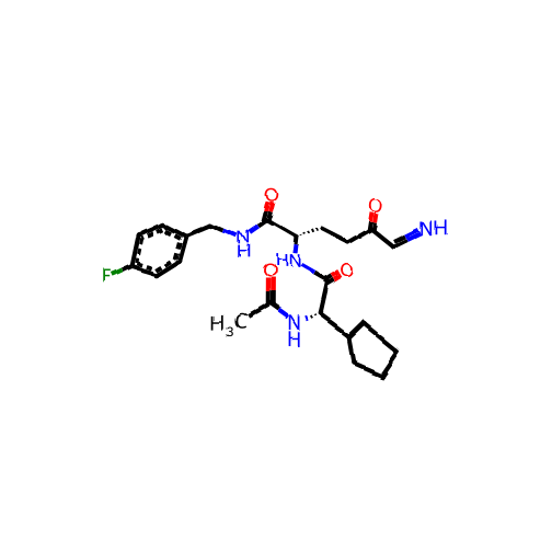 CC(=O)N[C@H](C(=O)N[C@@H](CCC(=O)C=N)C(=O)NCc1ccc(F)cc1)C1CCCC1